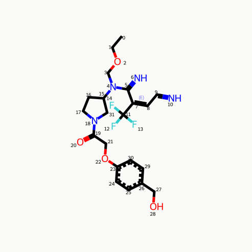 CCOCN(C(=N)/C(=C\C=N)C(F)(F)F)C1CCN(C(=O)COc2ccc(CO)cc2)C1